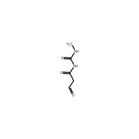 CNC(=O)NC(=O)CC=O